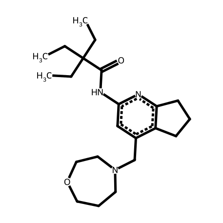 CCC(CC)(CC)C(=O)Nc1cc(CN2CCCOCC2)c2c(n1)CCC2